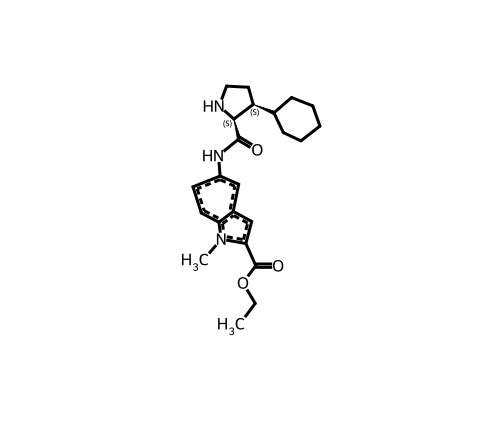 CCOC(=O)c1cc2cc(NC(=O)[C@H]3NCC[C@H]3C3CCCCC3)ccc2n1C